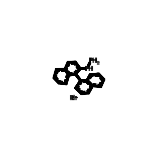 PPc1ccc2ccccc2c1-c1cccc2ccccc12.[Rh]